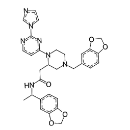 CC(NC(=O)CC1CN(Cc2ccc3c(c2)OCO3)CCN1c1ccnc(-n2ccnc2)n1)c1ccc2c(c1)OCO2